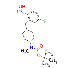 CN(C(=O)OC(C)(C)C)C1CCC(Cc2cc(F)ccc2NO)CC1